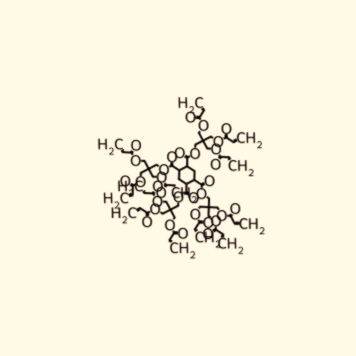 C=CC(=O)OCC(COC(=O)C=C)(COC(=O)C=C)COC(=O)C1CC(C(=O)OCC(COC(=O)C=C)(COC(=O)C=C)COC(=O)C=C)C(C(=O)OCC(COC(=O)C=C)(COC(=O)C=C)COC(=O)C=C)CC1C(=O)OCC(COC(=O)C=C)(COC(=O)C=C)COC(=O)C=C